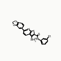 CCc1cccc(NC(=O)c2sc3nc(-c4ccc5c(c4)OCO5)ccc3c2N)c1